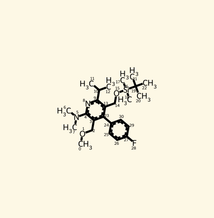 COCc1c(N(C)C)nc(C(C)C)c(CO[Si](C)(C)C(C)(C)C)c1-c1ccc(F)cc1